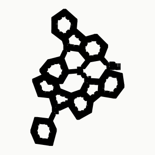 CC(C)(C)c1ccc2c3ccccc3n3c2c1B(n1c2ccccc2c2ccc4c(c5ccccc5n4-c4ccccc4)c21)c1ccccc1-3